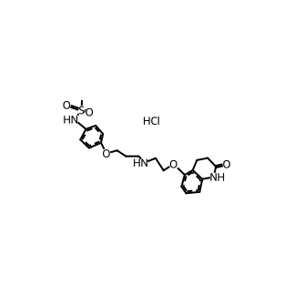 CS(=O)(=O)Nc1ccc(OCCCNCCOc2cccc3c2CCC(=O)N3)cc1.Cl